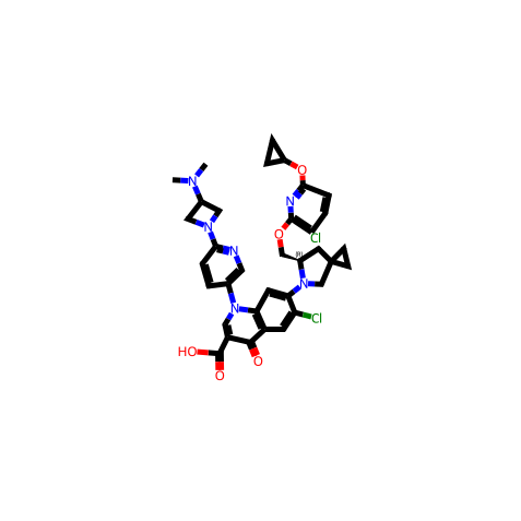 CN(C)C1CN(c2ccc(-n3cc(C(=O)O)c(=O)c4cc(Cl)c(N5CC6(CC6)C[C@@H]5COc5nc(OC6CC6)ccc5Cl)cc43)cn2)C1